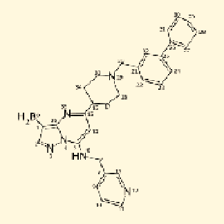 Bc1cnn2c(NCc3cccnc3)cc(C3CCN(Cc4cccc(-c5ccccc5)c4)CC3)nc12